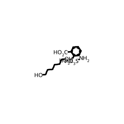 NS(=O)(=O)O.O=C(O)c1ccccc1C(=O)O.OCCCCCCO